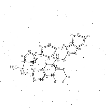 C[C@@H](Nc1cnc(N2CCCCC2)n(CC(=O)NCc2cc3cnccc3[nH]2)c1=O)c1ccc(-c2ccccc2)s1